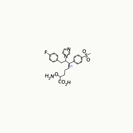 CS(=O)(=O)c1ccc(/C(=C/CCC(ON)C(=O)O)C(Cc2ccc(F)cc2)n2ccnc2)cc1